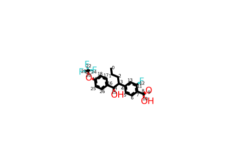 CCCC(c1ccc(C(=O)O)c(F)c1)C(O)c1ccc(OC(F)(F)F)cc1